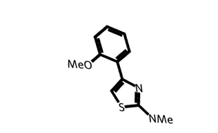 CNc1nc(-c2ccccc2OC)cs1